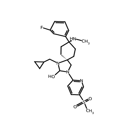 CN[C@]1(c2cccc(F)c2)CC[C@]2(CC1)CN(c1ccc(S(C)(=O)=O)cn1)C(O)N2CC1CC1